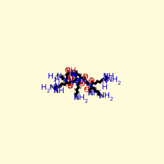 N=C(N)NCCCCC(=O)N(CCNC(=O)C(Cc1cnc[nH]1)N(CCNC(=O)C(CCCNC(=N)N)N(CCN)C(=O)CCO)C(=O)CCCCCN)C(CCCCN)C(N)=O